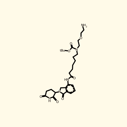 CC(C)(C)OC(=O)N(CCCCCCC(=O)Nc1cccc2c1CN(C1CCC(=O)NC1=O)C2=O)CCOCCN